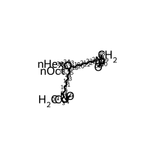 C=C=C1CCC(=O)N1CCCCCCCCC1C(CCCCCCCCN2C(=C)C=CC2=O)CCC(CCCCCC)C1CCCCCCCC